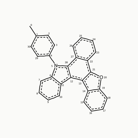 Cc1ccc(-n2c3ccccc3c3c4c5ccccc5oc4c4ccccc4c32)cc1